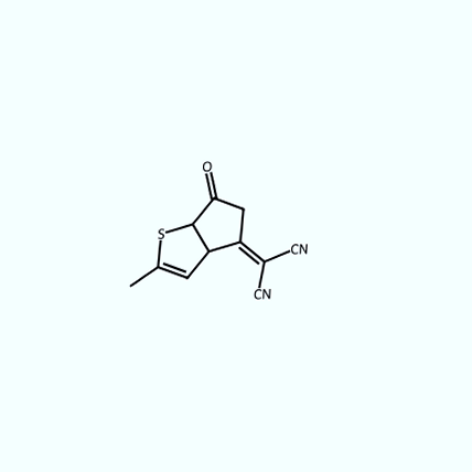 CC1=CC2C(=C(C#N)C#N)CC(=O)C2S1